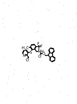 Cc1ccc(C(F)(F)F)c(CNC(=O)OCC2c3ccccc3-c3ccccc32)c1Sc1cccnc1C=O